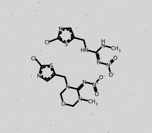 CN/C(=N\[N+](=O)[O-])NCc1cnc(Cl)s1.CN1COCN(Cc2cnc(Cl)s2)/C1=N/[N+](=O)[O-]